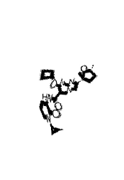 C[C@@]12CC[C@@](c3cn4cc(C(=O)Nc5cccn(C6CC6)c5=O)c(OC5CCC5)nc4n3)(CO1)C2